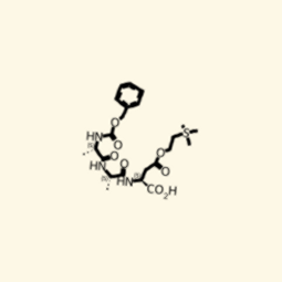 C[C@H](NC(=O)OCc1ccccc1)C(=O)N[C@@H](C)C(=O)N[C@@H](CC(=O)OCCS(C)(C)C)C(=O)O